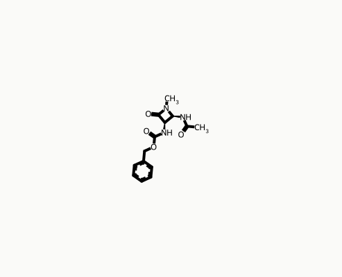 CC(=O)N[C@H]1[C@@H](NC(=O)OCc2ccccc2)C(=O)N1C